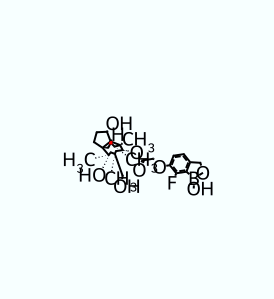 C[C@@H]1CC[C@@]23CCC(O)[C@H]2[C@]1(C)[C@H](OC(=O)COc1ccc2c(c1F)B(O)OC2)C[C@@](C)(CO)[C@@H](O)[C@@H]3C